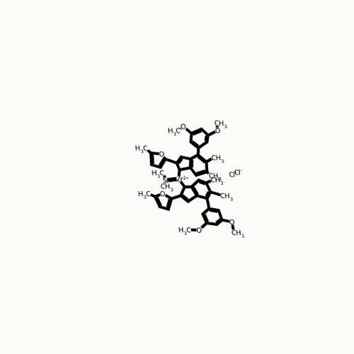 COc1cc(OC)cc(-c2c(C)c(C)cc3c2C=C(c2ccc(C)o2)[CH]3[Zr+2]([CH]2C(c3ccc(C)o3)=Cc3c2cc(C)c(C)c3-c2cc(OC)cc(OC)c2)=[Si](C)C)c1.[Cl-].[Cl-]